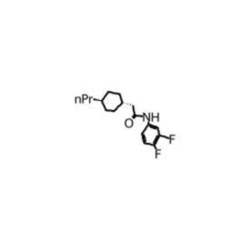 CCC[C@H]1CC[C@H](CC(=O)Nc2ccc(F)c(F)c2)CC1